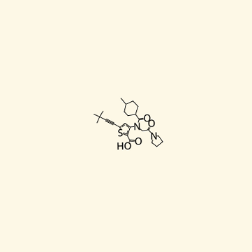 CC1CCC(C(=O)N(CC(=O)N2CCCC2)c2cc(C#CC(C)(C)C)sc2C(=O)O)CC1